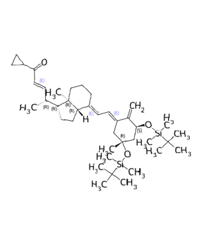 C=C1/C(=C/C=C2\CCC[C@]3(C)[C@@H]([C@H](C)/C=C/C(=O)C4CC4)CC[C@@H]23)C[C@@](C)(O[Si](C)(C)C(C)(C)C)C[C@@H]1O[Si](C)(C)C(C)(C)C